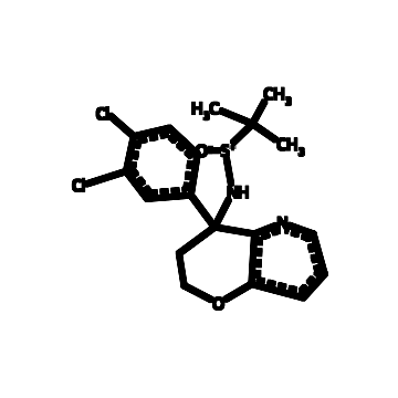 CC(C)(C)[S+]([O-])NC1(c2ccc(Cl)c(Cl)c2)CCOc2cccnc21